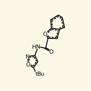 CC(C)(C)c1cc(NC(=O)c2cc3ccccc3o2)no1